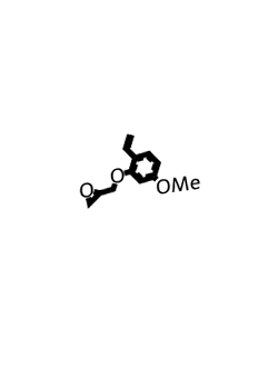 C=Cc1ccc(OC)cc1OCC1CO1